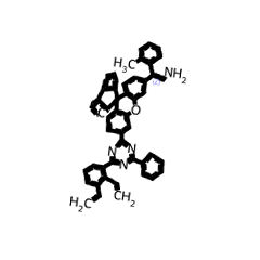 C=Cc1cccc(-c2nc(-c3ccccc3)nc(-c3ccc4c(c3)Oc3cc(/C(=C/N)c5ccccc5C)ccc3C43c4ccccc4-c4ccccc43)n2)c1C=C